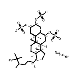 CC(C)C(C)(C)C(C)CC[C@@H](C)[C@H]1CC[C@H]2[C@@H]3C[C@H](OS(=O)(=O)[O-])C4C[C@H](OS(=O)(=O)[O-])[C@@H](OS(=O)(=O)[O-])C[C@]4(C)[C@H]3CC[C@]12C.[Na+].[Na+].[Na+]